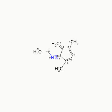 C=C1C(C)=CC=C(C)/C1=N/CC